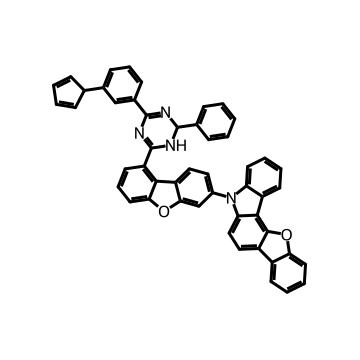 C1=CC(c2cccc(C3=NC(c4ccccc4)NC(c4cccc5oc6cc(-n7c8ccccc8c8c9oc%10ccccc%10c9ccc87)ccc6c45)=N3)c2)C=C1